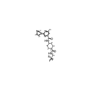 Cc1cc(C(=O)NC2CCC(C(=O)NCC(F)(F)F)CC2)nc(-n2ccnc2)n1